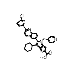 O=C(O)c1cc2c(s1)c(C1CCCCC1)c(-c1ccc3nc(-c4ccc(Cl)s4)ccc3c1)n2Cc1ccncc1